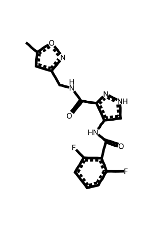 Cc1cc(CNC(=O)c2n[nH]cc2NC(=O)c2c(F)cccc2F)no1